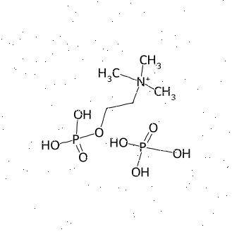 C[N+](C)(C)CCOP(=O)(O)O.O=P(O)(O)O